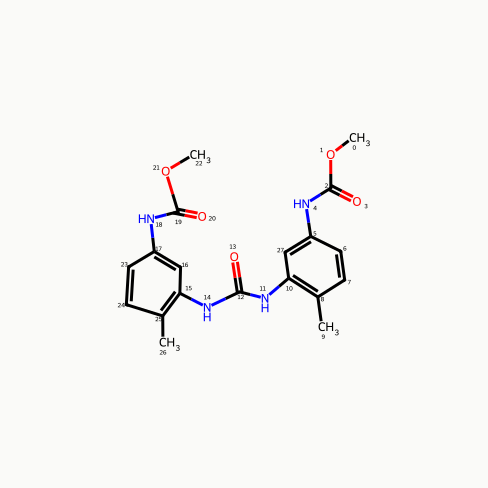 COC(=O)Nc1ccc(C)c(NC(=O)Nc2cc(NC(=O)OC)ccc2C)c1